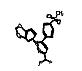 CS(=O)(=O)c1ccc(-c2cc(C(F)F)nn2-c2ccc3c(c2)OCO3)cc1